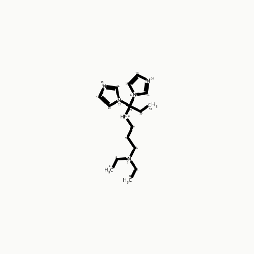 CCN(CC)CCCPC(CC)(n1ccnc1)n1ccnc1